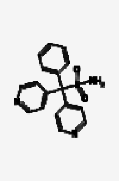 NS(=O)(=O)C(c1ccccc1)(c1ccncc1)c1ccncc1